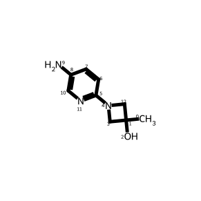 CC1(O)CN(c2ccc(N)cn2)C1